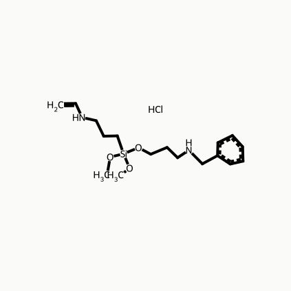 C=CNCCC[Si](OC)(OC)OCCCNCc1ccccc1.Cl